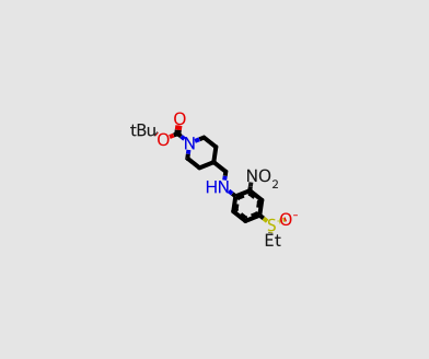 CC[S+]([O-])c1ccc(NCC2CCN(C(=O)OC(C)(C)C)CC2)c([N+](=O)[O-])c1